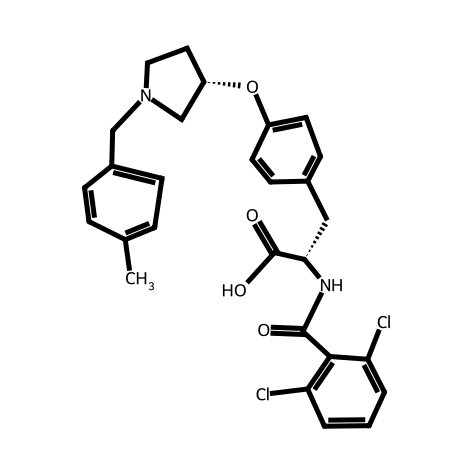 Cc1ccc(CN2CC[C@H](Oc3ccc(C[C@H](NC(=O)c4c(Cl)cccc4Cl)C(=O)O)cc3)C2)cc1